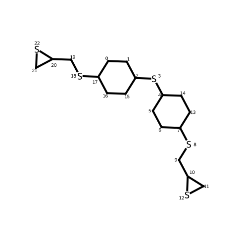 C1CC(SC2CCC(SCC3CS3)CC2)CCC1SCC1CS1